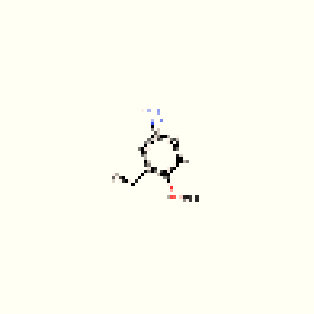 C=Cc1cc(N)ccc1OCC